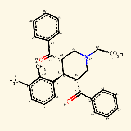 Cc1cccc([C@@H]2[C@@H](C(=O)c3ccccc3)CN(CC(=O)O)C[C@H]2C(=O)c2ccccc2)c1C